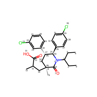 CCC(CC)N1C(=O)[C@@](C)(CC(C)C(=O)O)C[C@H](c2cccc(Cl)c2)[C@H]1c1ccc(Cl)cc1